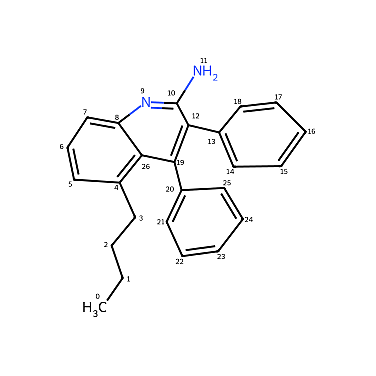 CCCCc1cccc2nc(N)c(-c3ccccc3)c(-c3ccccc3)c12